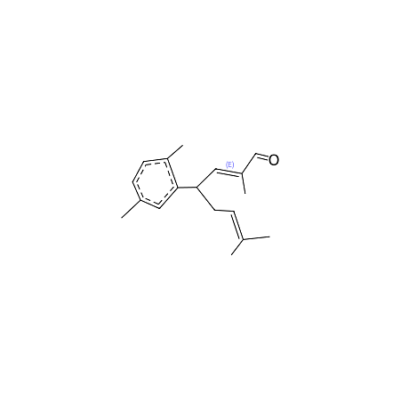 CC(C)=CCC(/C=C(\C)C=O)c1cc(C)ccc1C